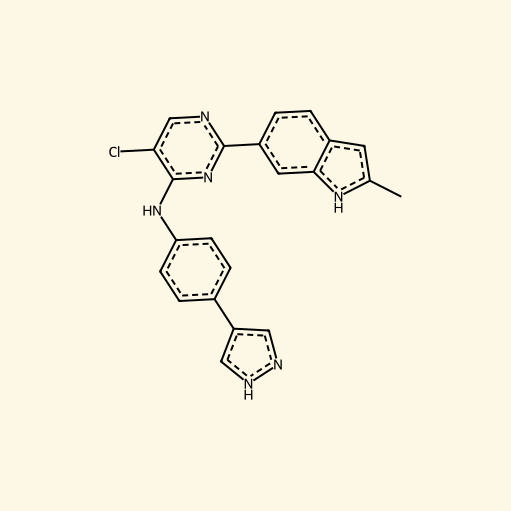 Cc1cc2ccc(-c3ncc(Cl)c(Nc4ccc(-c5cn[nH]c5)cc4)n3)cc2[nH]1